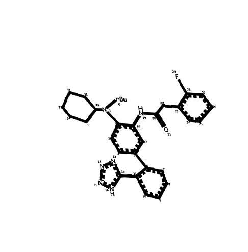 CCCCN(c1ccc(-c2ccccc2-c2nnn[nH]2)cc1NC(=O)Cc1ccccc1F)C1CCCCC1